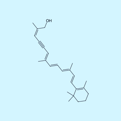 CC(C=CC=C(C)C=CC1=C(C)CCCC1(C)C)=CC#CC=C(C)CO